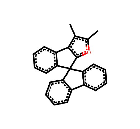 Cc1oc2c(c1C)-c1ccccc1C21c2ccccc2-c2ccccc21